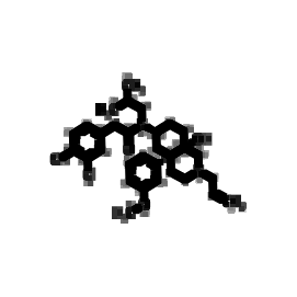 C=CCN1CC[C@@]2(c3cccc(OC)c3)C[C@@H](N(CC(C)C)C(=O)Cc3ccc(Cl)c(Cl)c3)CC[C@]2(O)C1